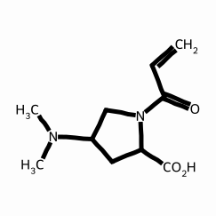 C=CC(=O)N1CC(N(C)C)CC1C(=O)O